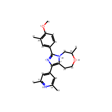 COc1ccc(-c2nc(-c3cc(C)nc(C)c3)c3n2CC(C)OCC3)cc1C